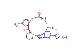 Cc1ccc2c(c1)C(=O)N1CCCCC1C1C=C3N=C(N4CC(O)C4)C=C(C(C)CCNC(=O)CO2)N3N1